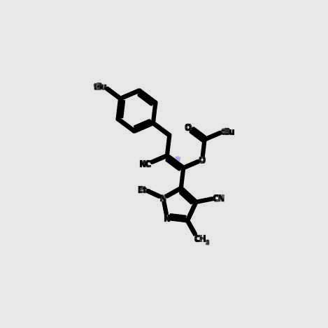 CCn1nc(C)c(C#N)c1/C(OC(=O)C(C)(C)C)=C(\C#N)Cc1ccc(C(C)(C)C)cc1